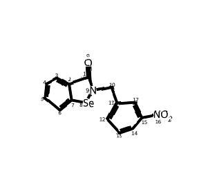 O=c1c2ccccc2[se]n1Cc1cccc([N+](=O)[O-])c1